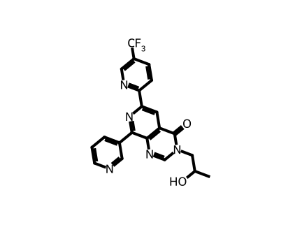 CC(O)Cn1cnc2c(-c3cccnc3)nc(-c3ccc(C(F)(F)F)cn3)cc2c1=O